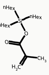 C=C(C)C(=O)O[Si](CCCCCC)(CCCCCC)CCCCCC